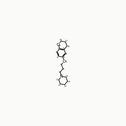 c1cc2c(cc1OCCCN1CCCCC1)CCCO2